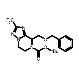 CC(C)(C)OC(=O)N1CCn2nc(C(F)(F)F)nc2C1COCc1ccccc1